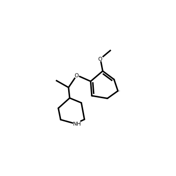 COC1=C[CH]CC=C1OC(C)C1CCNCC1